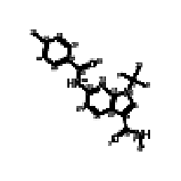 CNC(=O)c1cn(C(C)(C)C)c2nc(NC(=O)c3ccc(C)cc3)ncc12